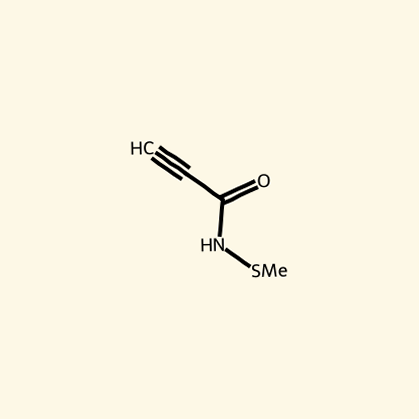 C#CC(=O)NSC